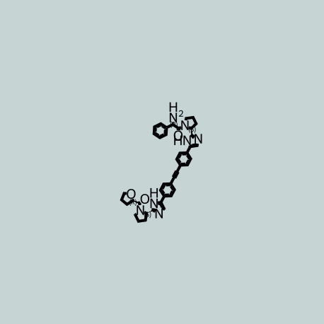 N[C@@H](C(=O)N1CCC[C@H]1c1ncc(-c2ccc(C#Cc3ccc(-c4cnc([C@@H]5CCCN5C(=O)[C@H]5CCCO5)[nH]4)cc3)cc2)[nH]1)c1ccccc1